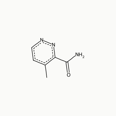 Cc1ccnnc1C(N)=O